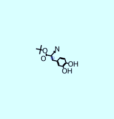 CC(C)(C)OC(=O)/C(C#N)=C/c1ccc(O)c(O)c1